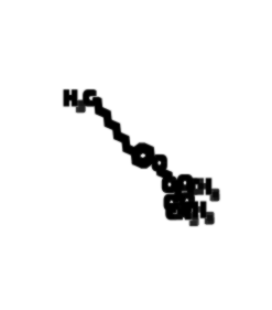 CCCCCCCCCc1ccc(OCCOC(OC)C(OC)OC)cc1